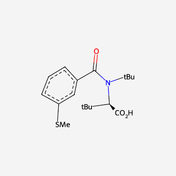 CSc1cccc(C(=O)N([C@@H](C(=O)O)C(C)(C)C)C(C)(C)C)c1